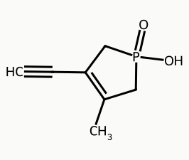 C#CC1=C(C)CP(=O)(O)C1